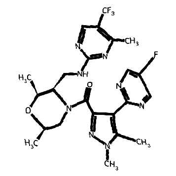 Cc1nc(NC[C@@H]2[C@H](C)O[C@H](C)CN2C(=O)c2nn(C)c(C)c2-c2ncc(F)cn2)ncc1C(F)(F)F